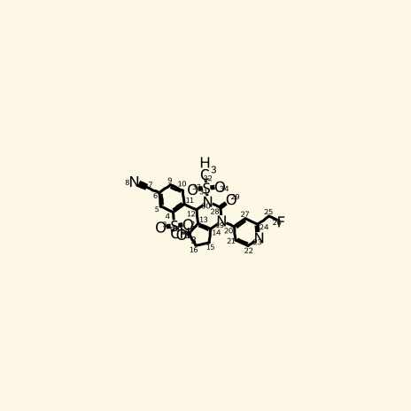 CS(=O)(=O)c1cc(C#N)ccc1C1C2=C(CCC2=O)N(c2ccnc(CF)c2)C(=O)N1S(C)(=O)=O